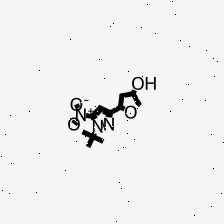 CC(C)(C)n1nc(C2CC(O)CO2)cc1[N+](=O)[O-]